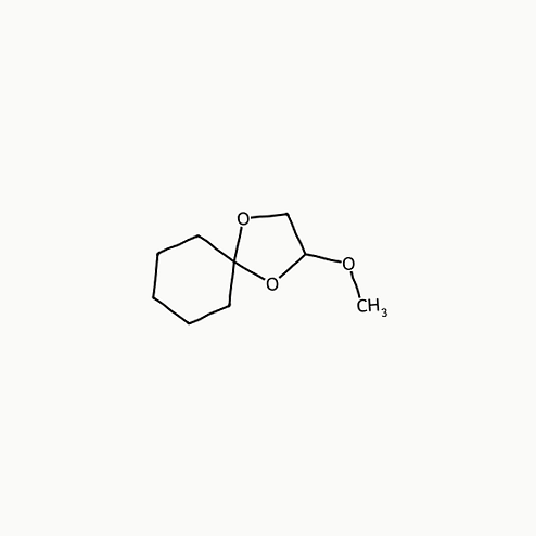 COC1COC2(CCCCC2)O1